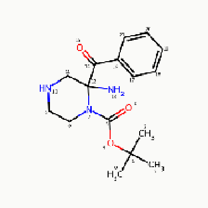 CC(C)(C)OC(=O)N1CCNCC1(N)C(=O)c1ccccc1